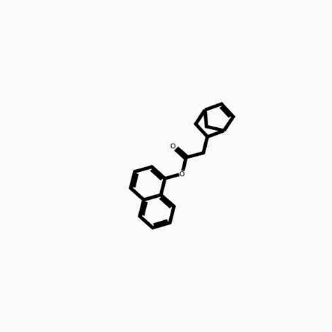 O=C(CC1CC2C=CC1C2)Oc1cccc2ccccc12